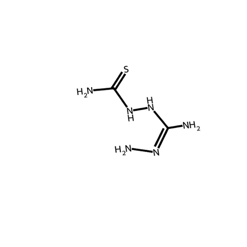 NN=C(N)NNC(N)=S